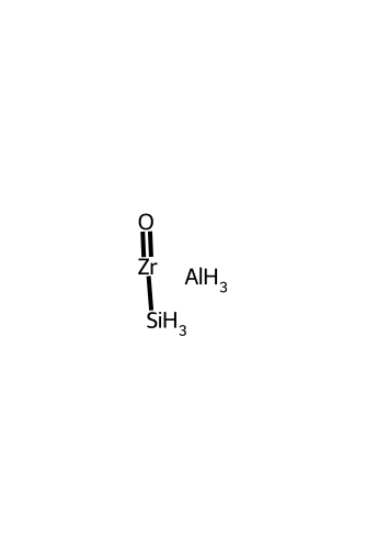 [AlH3].[O]=[Zr][SiH3]